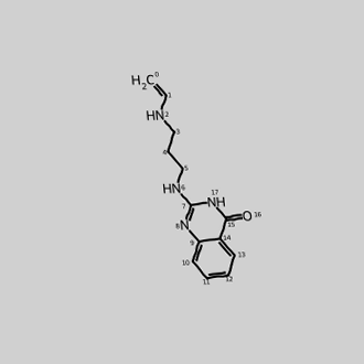 C=CNCCCNc1nc2ccccc2c(=O)[nH]1